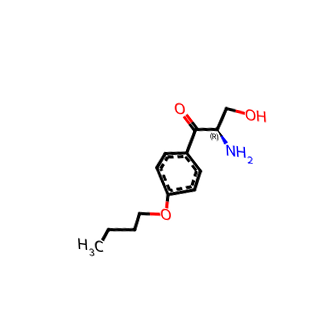 CCCCOc1ccc(C(=O)[C@H](N)CO)cc1